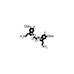 COc1cc2c(CCN)cn(OC(=O)C(=O)On3cc(CCN)c4cc(OC)c(F)cc43)c2cc1F